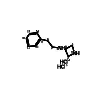 C1CNC1.Cl.Cl.NCCc1ccccc1